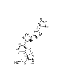 O=C1CC2Cc3c(C4=NOC(c5cc(-c6nccs6)on5)N4)cccc3C2N1CCO